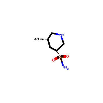 CC(=O)O[C@@H]1CNC[C@H](S(N)(=O)=O)C1